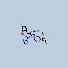 CCOC(=O)C1=C(CN2CCO[C@H](C(C)(C)O)C2)NC(C2=NCC=N2)=NC1c1ccc(F)cc1Br